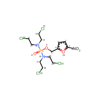 O=[N+]([O-])c1ccc(COP(=O)(N(CCCl)CCCl)N(CCCl)CCCl)o1